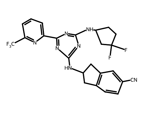 N#Cc1ccc2c(c1)CC(Nc1nc(NC3CCC(F)(F)C3)nc(-c3cccc(C(F)(F)F)n3)n1)C2